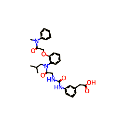 CC(C)CN(C(=O)CNC(=O)Nc1cccc(CC(=O)O)c1)c1ccccc1OCC(=O)N(C)c1ccccc1